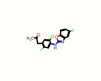 CC(=O)Cc1cc(Cl)c(Nc2nc3cc(F)ccc3o2)cc1F